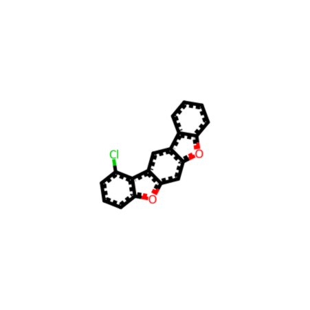 Clc1cccc2oc3cc4oc5ccccc5c4cc3c12